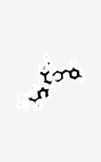 CC(C)(O)[C@H](O)c1cc2nc(-c3cnn(CF)c3)c(N3CCC(=Cc4ccc(F)cc4F)CC3)nc2cn1